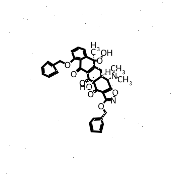 CN(C)[C@@H]1c2onc(OCc3ccccc3)c2C(=O)[C@@]2(O)C(=O)C3=C(C[C@@H]12)[C@](C)(OO)c1cccc(OCc2ccccc2)c1C3=O